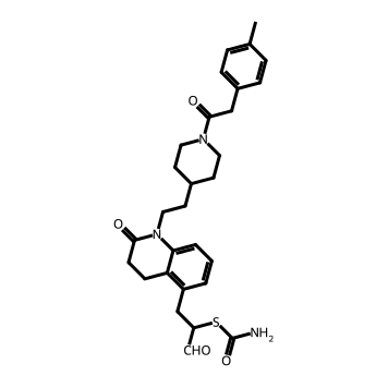 Cc1ccc(CC(=O)N2CCC(CCN3C(=O)CCc4c(CC(C=O)SC(N)=O)cccc43)CC2)cc1